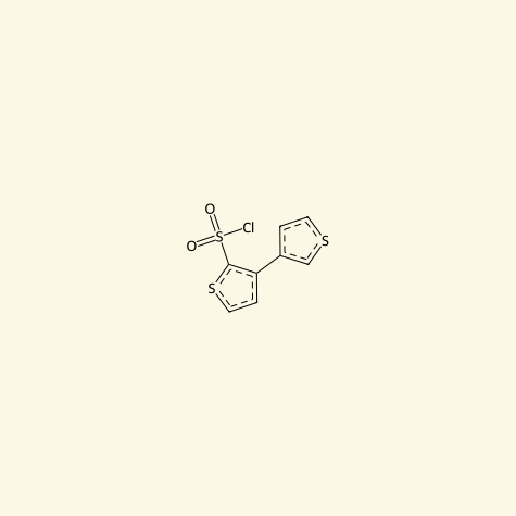 O=S(=O)(Cl)c1sccc1-c1ccsc1